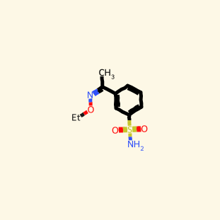 CCO/N=C(/C)c1cccc(S(N)(=O)=O)c1